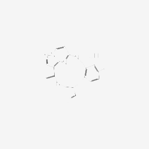 C[C@H]1Nc2ccn3ncc(c3n2)C(=O)NC[C@H](C=O)Oc2ccc(F)cc21